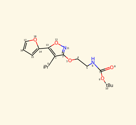 CC(C)c1c(OCCNC(=O)OC(C)(C)C)noc1-c1ccco1